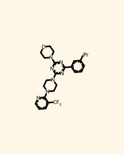 CC(C)c1cccc(-c2nc(N3CCOCC3)nc(N3CCN(c4ncccc4C(F)(F)F)CC3)n2)c1